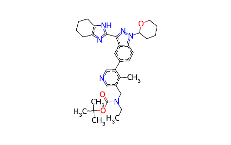 CCN(Cc1cncc(-c2ccc3c(c2)c(-c2nc4c([nH]2)CCCC4)nn3C2CCCCO2)c1C)C(=O)OC(C)(C)C